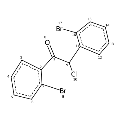 O=C(c1ccccc1Br)C(Cl)c1ccccc1Br